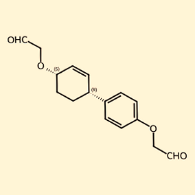 O=CCOc1ccc([C@H]2C=C[C@@H](OCC=O)CC2)cc1